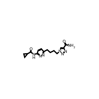 NC(=O)c1cn(CCCCc2ccc(NC(=O)C3CC3)nn2)nn1